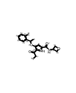 CC(Oc1cc(C(=O)NC2COC2)[nH]c1C(=O)CI)c1ccccc1F